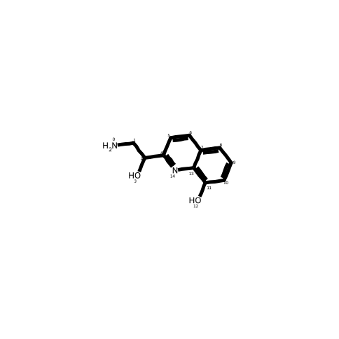 NCC(O)c1ccc2cccc(O)c2n1